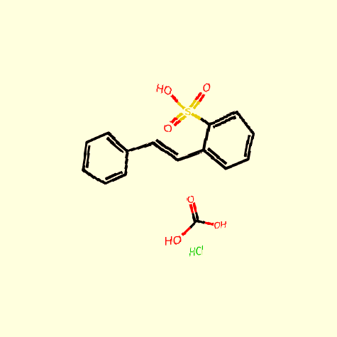 Cl.O=C(O)O.O=S(=O)(O)c1ccccc1C=Cc1ccccc1